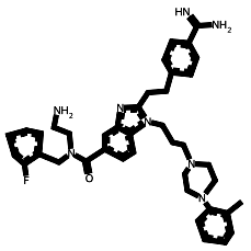 Cc1ccccc1N1CCN(CCCn2c(CCc3ccc(C(=N)N)cc3)nc3cc(C(=O)N(CCN)Cc4ccccc4F)ccc32)CC1